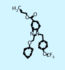 C=CCOC(=O)c1ccc2c(c1)nc(COc1ccccc1)n2Cc1ccc(OC(F)(F)F)cc1